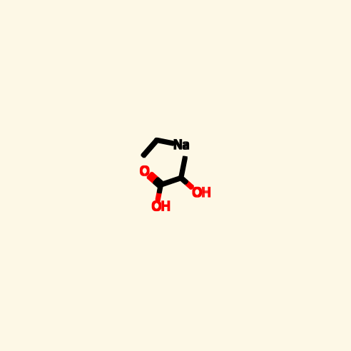 CC(O)C(=O)O.C[CH2][Na]